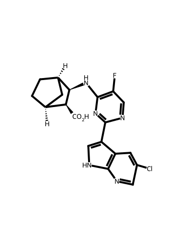 O=C(O)[C@H]1[C@H]2CC[C@H](C2)[C@H]1Nc1nc(-c2c[nH]c3ncc(Cl)cc23)ncc1F